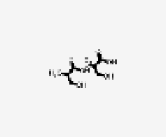 CC(CO)C(=O)O.CC(CO)C(=O)O